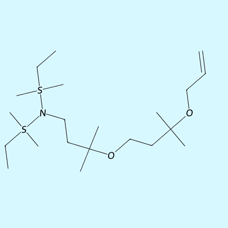 C=CCOC(C)(C)CCOC(C)(C)CCN(S(C)(C)CC)S(C)(C)CC